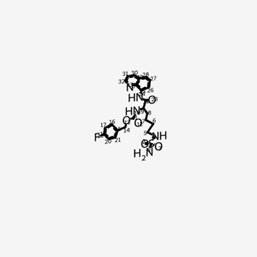 NS(=O)(=O)NCCCCC(NC(=O)OCc1ccc(F)cc1)C(=O)Nc1cccc2cccnc12